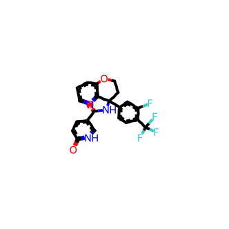 O=C(NC1(c2ccc(C(F)(F)F)c(F)c2)CCOc2cccnc21)c1ccc(=O)[nH]c1